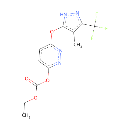 CCOC(=O)Oc1ccc(Oc2[nH]nc(C(F)(F)F)c2C)nn1